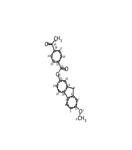 COc1ccc2c(c1)Cc1cc(OC(=O)c3ccc(C(C)=O)cc3)ccc1-2